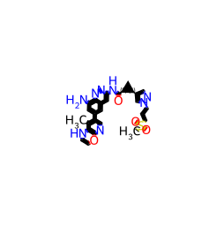 Cc1c(-c2cc(N)c3nnc(NC(=O)[C@H]4C[C@@H]4c4cnn(CCCS(C)(=O)=O)c4)cc3c2)cnc2c1NCCO2